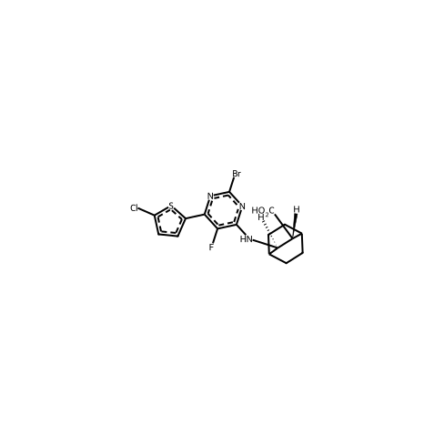 O=C(O)[C@@H]1C2CCC(CC2)[C@H]1Nc1nc(Br)nc(-c2ccc(Cl)s2)c1F